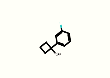 CC(C)(C)C1(c2cccc(F)c2)CCC1